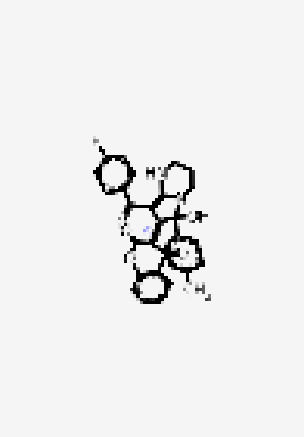 Cc1ccc(C2(O)/C(=C3/C(=O)Oc4ccccc4C3=O)C(C(=O)c3ccc(F)cc3)=C3NCCCN32)cc1